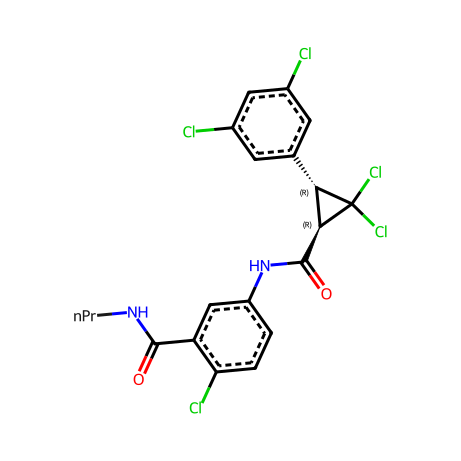 CCCNC(=O)c1cc(NC(=O)[C@H]2[C@H](c3cc(Cl)cc(Cl)c3)C2(Cl)Cl)ccc1Cl